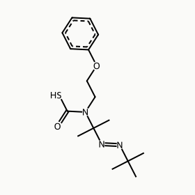 CC(C)(C)N=NC(C)(C)N(CCOc1ccccc1)C(=O)S